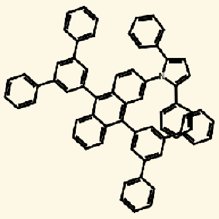 c1ccc(-c2cc(-c3ccccc3)cc(-c3c4ccccc4c(-c4cc(-c5ccccc5)cc(-c5ccccc5)c4)c4cc(-n5c(-c6ccccc6)ccc5-c5ccccc5)ccc34)c2)cc1